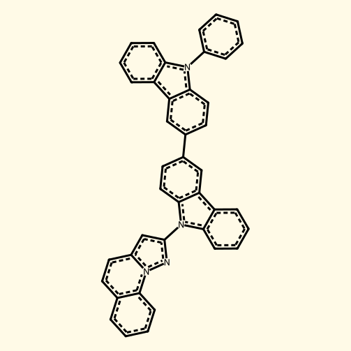 c1ccc(-n2c3ccccc3c3cc(-c4ccc5c(c4)c4ccccc4n5-c4cc5ccc6ccccc6n5n4)ccc32)cc1